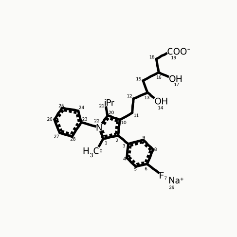 Cc1c(-c2ccc(F)cc2)c(CCC(O)CC(O)CC(=O)[O-])c(C(C)C)n1-c1ccccc1.[Na+]